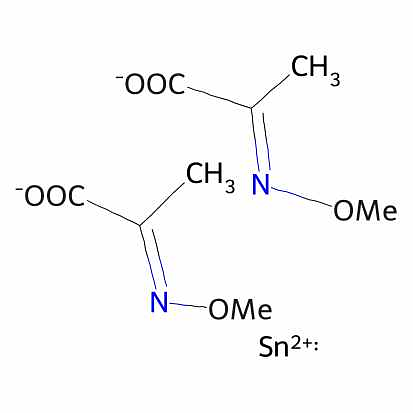 CON=C(C)C(=O)[O-].CON=C(C)C(=O)[O-].[Sn+2]